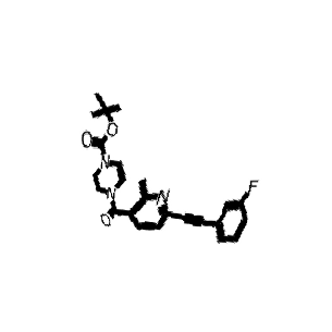 Cc1nc(C#Cc2cccc(F)c2)ccc1C(=O)N1CCN(C(=O)OC(C)(C)C)CC1